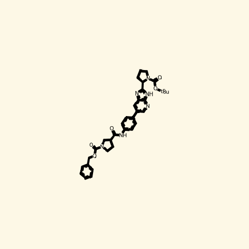 CC(C)(C)OC(=O)N1CCCC1c1nc2cc(-c3ccc(NC(=O)C4CCN(C(=O)OCc5ccccc5)C4)cc3)cnc2[nH]1